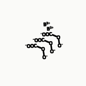 O=C([O-])O[O-].O=C([O-])O[O-].O=C([O-])O[O-].[B+3].[B+3]